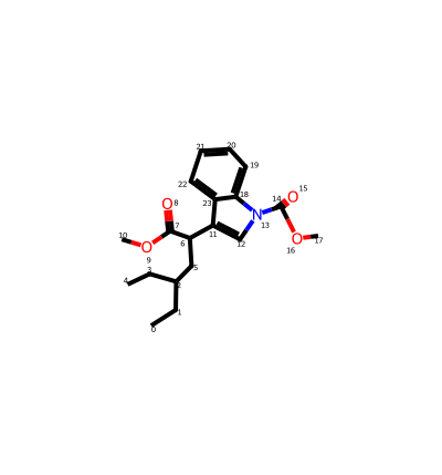 CCC(CC)CC(C(=O)OC)c1cn(C(=O)OC)c2ccccc12